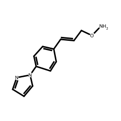 NOCC=Cc1ccc(-n2cccn2)cc1